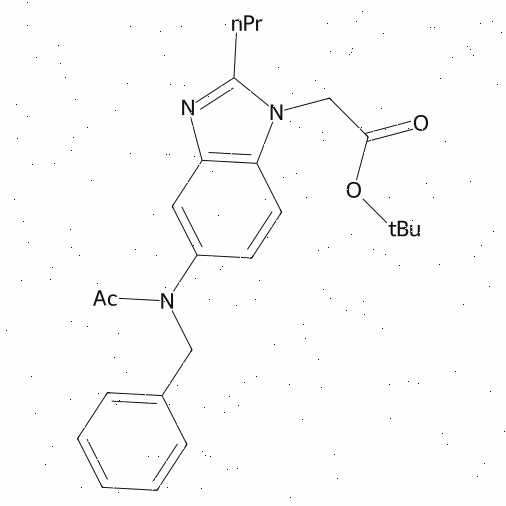 CCCc1nc2cc(N(Cc3ccccc3)C(C)=O)ccc2n1CC(=O)OC(C)(C)C